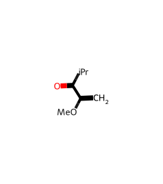 C=C(OC)C(=O)C(C)C